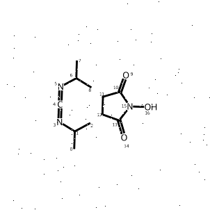 CC(C)N=C=NC(C)C.O=C1CCC(=O)N1O